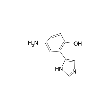 Nc1ccc(O)c(-c2cnc[nH]2)c1